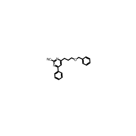 N#Cc1nc(CCCOCc2ccccc2)cc(-c2ccccc2)n1